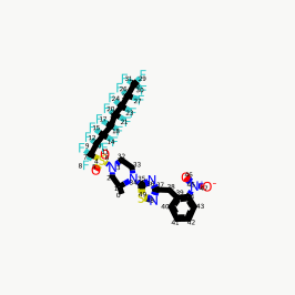 CC1CN(S(=O)(=O)C(F)(F)C(F)(F)C(F)(F)C(F)(F)C(F)(F)C(F)(F)C(F)(F)C(F)(F)F)CCN1c1nc(Cc2ccccc2[N+](=O)[O-])ns1